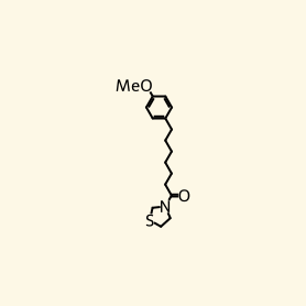 COc1ccc(CCCCCCC(=O)N2CCSC2)cc1